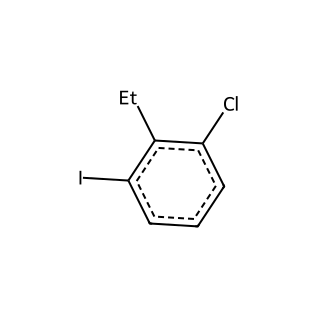 CCc1c(Cl)cccc1I